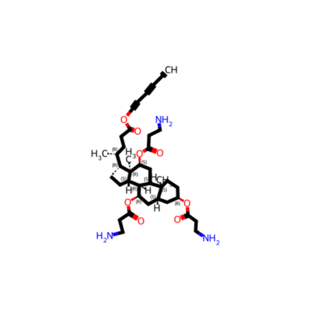 C#CC#CC#COC(=O)CC[C@@H](C)[C@H]1CC[C@H]2[C@@H]3[C@H](OC(=O)CCN)C[C@@H]4C[C@H](OC(=O)CCN)CC[C@]4(C)[C@H]3C[C@H](OC(=O)CCN)[C@]12C